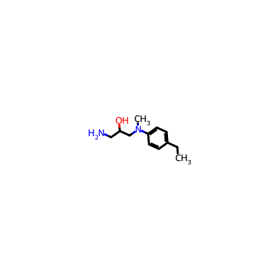 CCc1ccc(N(C)CC(O)CN)cc1